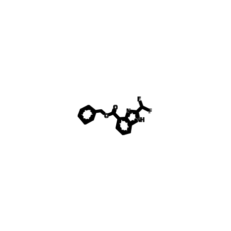 O=C(OCc1ccccc1)c1cccc2[nH]c(C(F)F)nc12